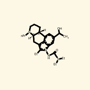 CCCN1CCC[C@@H]2c3cc(C(C)O)cc4c3c(c(CC)n4NC(=O)N(CC)CC)C[C@H]21